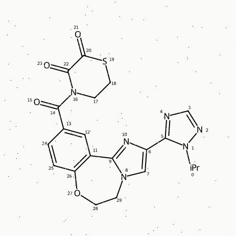 CC(C)n1ncnc1-c1cn2c(n1)-c1cc(C(=O)N3CCSC(=O)C3=O)ccc1OCC2